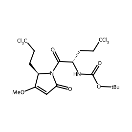 COC1=CC(=O)N(C(=O)[C@H](CCC(Cl)(Cl)Cl)NC(=O)OC(C)(C)C)[C@@H]1CCC(Cl)(Cl)Cl